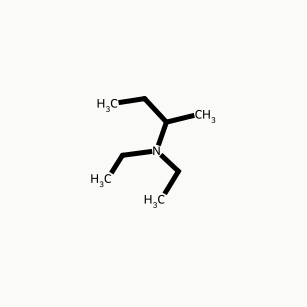 CC[C](C)N(CC)CC